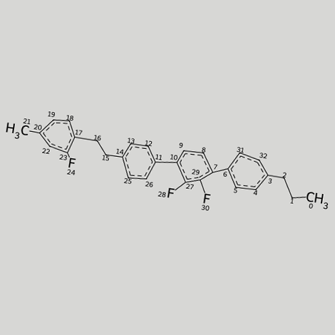 CCCc1ccc(-c2ccc(-c3ccc(CCc4ccc(C)cc4F)cc3)c(F)c2F)cc1